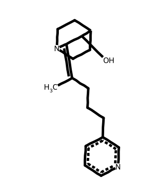 CC(CCCc1cccnc1)=C1C(O)C2CCN1CC2